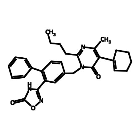 CCCCc1nc(C)c(C2=CCCCC2)c(=O)n1Cc1ccc(-c2ccccc2)c(-c2noc(=O)[nH]2)c1